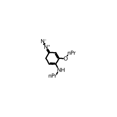 CCCNC1=CCC(=[N+]=[N-])C=C1OCCC